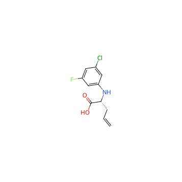 C=CC[C@@H](Nc1cc(F)cc(Cl)c1)C(=O)O